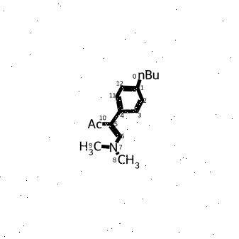 CCCCc1ccc(C(=CN(C)C)C(C)=O)cc1